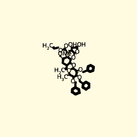 C=CCOC(=O)NC1C(O)[C@@H](O)O[C@H]1OC1C[C@@H](COC)CC(C=C)C1OC1O[C@@H](C)C(OCc2ccccc2)C(OCc2ccccc2)[C@@H]1OCc1ccccc1